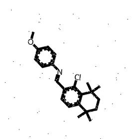 COc1ccc(N=Cc2ccc3c(c2Cl)C(C)(C)CCC3(C)C)cc1